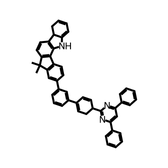 CC1(C)c2cc(-c3cccc(C4=CCC(c5nc(-c6ccccc6)cc(-c6ccccc6)n5)C=C4)c3)ccc2-c2c1ccc1c2NC2=CC=CCC21